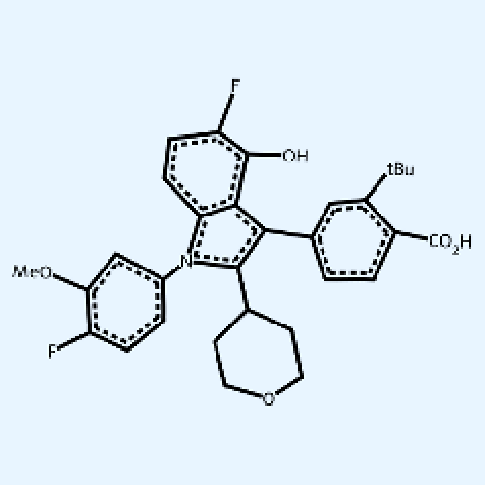 COc1cc(-n2c(C3CCOCC3)c(-c3ccc(C(=O)O)c(C(C)(C)C)c3)c3c(O)c(F)ccc32)ccc1F